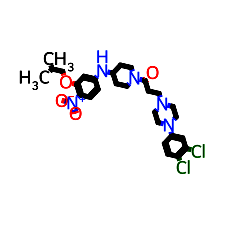 CC(C)COc1cc(NC2CCN(C(=O)CCN3CCN(c4ccc(Cl)c(Cl)c4)CC3)CC2)ccc1[N+](=O)[O-]